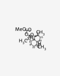 COC(=O)OC(=O)[C@H](C)[C@@H]1CC[C@@H](C)[C@@H]2CCC(C)=C[C@@H]21